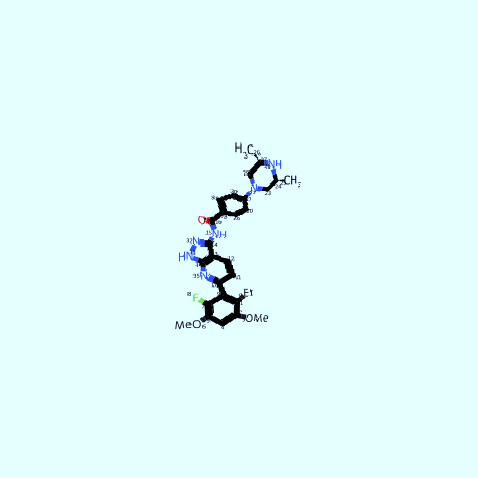 CCc1c(OC)cc(OC)c(F)c1-c1ccc2c(NC(=O)c3ccc(N4C[C@@H](C)N[C@@H](C)C4)cc3)n[nH]c2n1